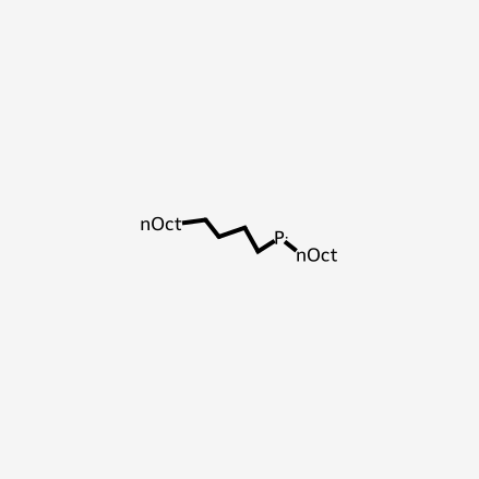 CCCCCCCCCCCC[P]CCCCCCCC